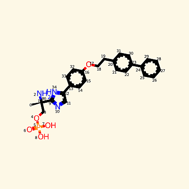 C[C@](N)(COP(=O)(O)O)c1ncc(-c2ccc(OCCc3ccc(-c4ccccc4)cc3)cc2)[nH]1